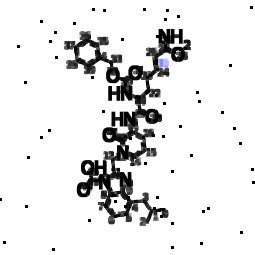 CC(C)Cc1cccc2c1nc(Cn1cccc(NC(=O)[C@H](CC/C=C/C(N)=O)NC(=O)OCc3ccccc3)c1=O)n2C(=O)O